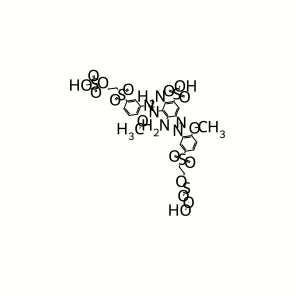 COc1ccc(S(=O)(=O)CCOSOOO)cc1/N=N/c1cc(S(=O)(=O)O)c(N)c(/N=N/c2cc(S(=O)(=O)CCOS(=O)(=O)O)ccc2OC)c1N